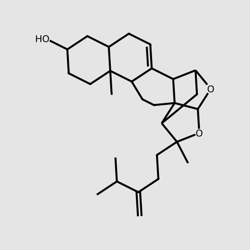 C=C(CCC1(C)OC2OC3CC1C21CCC2C(=CCC4CC(O)CCC42C)C31)C(C)C